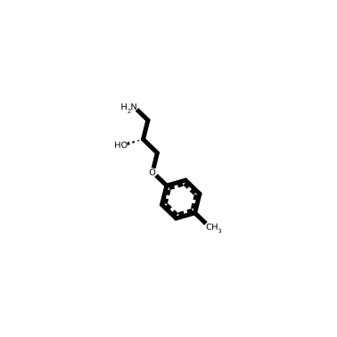 Cc1ccc(OC[C@H](O)CN)cc1